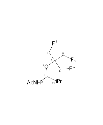 CC(=O)NC(OC(CF)(CF)CF)C(C)C